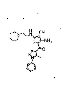 Cc1c(C(=O)c2sc(NCCN3CCCCC3)c(C#N)c2N)cnn1-c1ccccc1